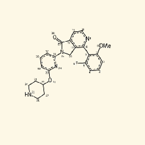 COc1cccc(F)c1-c1nccc2c1CN(c1cccc(OC3CCNCC3)n1)C2=O